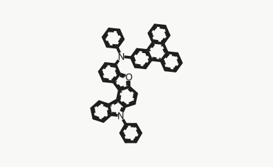 c1ccc(N(c2ccc3c4ccccc4c4ccccc4c3c2)c2cccc3c2oc2ccc4c(c5ccccc5n4-c4ccccc4)c23)cc1